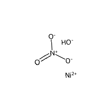 O=[N+]([O-])[O-].[Ni+2].[OH-]